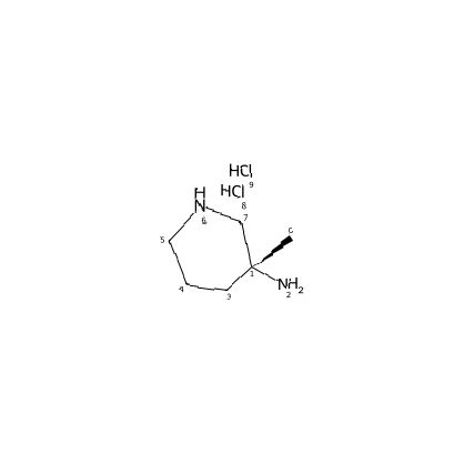 C[C@@]1(N)CCCNC1.Cl.Cl